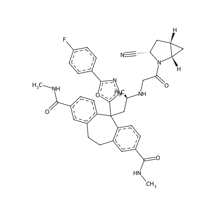 CNC(=O)c1ccc2c(c1)CCc1cc(C(=O)NC)ccc1C2(C[C@@H](C)NCC(=O)N1[C@H](C#N)C[C@@H]2C[C@@H]21)c1nnc(-c2ccc(F)cc2)o1